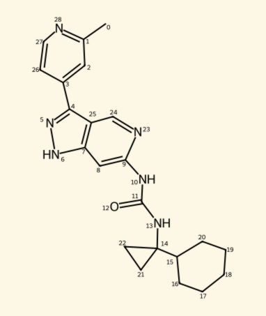 Cc1cc(-c2n[nH]c3cc(NC(=O)NC4(C5CCCCC5)CC4)ncc23)ccn1